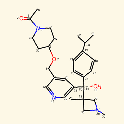 CC(=O)N1CCC(OCc2cncc([C@@](O)(c3ccc(C(C)C)cc3)C3(C)CN(C)C3)c2)CC1